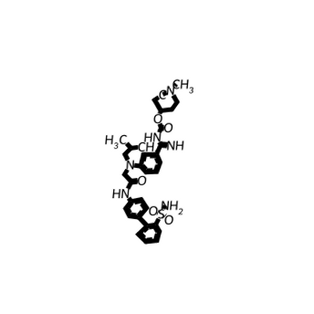 CC(C)CN(CC(=O)Nc1ccc(-c2ccccc2S(N)(=O)=O)cc1)c1cccc(C(=N)NC(=O)OC2CCN(C)CC2)c1